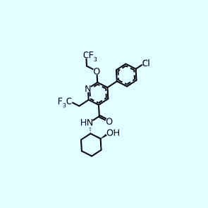 O=C(N[C@H]1CCCC[C@@H]1O)c1cc(-c2ccc(Cl)cc2)c(OCC(F)(F)F)nc1CC(F)(F)F